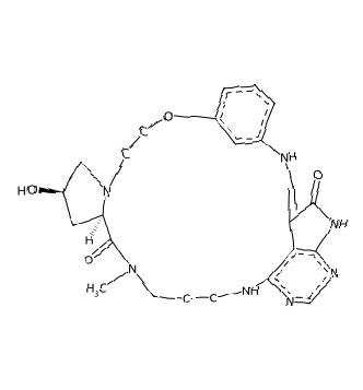 CN1CCCNc2ncnc3c2/C(=C/Nc2cccc(c2)OCCN2C[C@H](O)C[C@@H]2C1=O)C(=O)N3